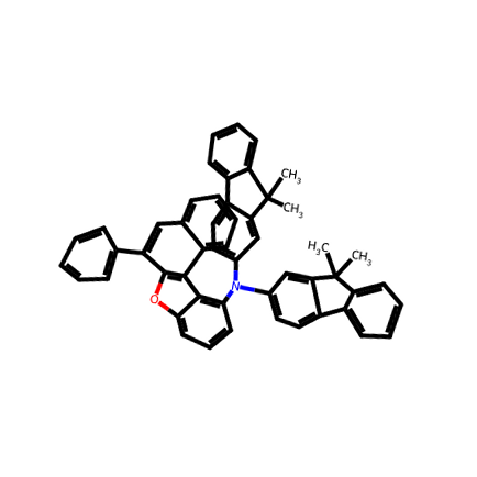 CC1(C)c2ccccc2-c2ccc(N(c3ccc4c(c3)C(C)(C)c3ccccc3-4)c3cccc4oc5c(-c6ccccc6)cc6ccccc6c5c34)cc21